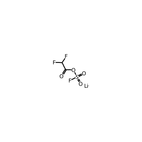 O=C(OS(=O)(=O)F)C(F)F.[Li]